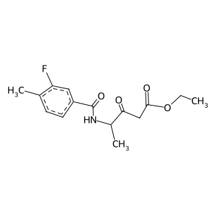 CCOC(=O)CC(=O)C(C)NC(=O)c1ccc(C)c(F)c1